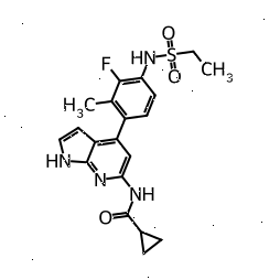 CCS(=O)(=O)Nc1ccc(-c2cc(NC(=O)C3CC3)nc3[nH]ccc23)c(C)c1F